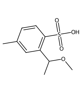 COC(C)c1cc(C)ccc1S(=O)(=O)O